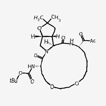 CC(=O)C(=O)[C@@H]1CCCCOCCOCC[C@H](NC(=O)OC(C)(C)C)C(=O)N2C[C@@H]3OC(C)(C)C[C@@H]3[C@H]2C(=O)N1